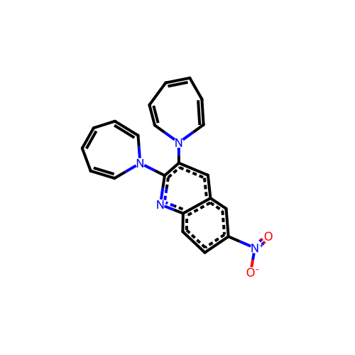 O=[N+]([O-])c1ccc2nc(N3C=CC=CC=C3)c(N3C=CC=CC=C3)cc2c1